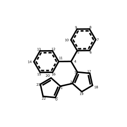 [C]1=C(C2=C(C(c3ccccc3)c3ccccc3)C=CC2)C=CC1